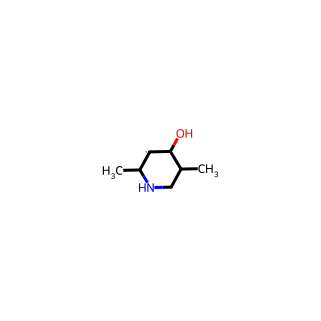 CC1[CH]C(O)C(C)CN1